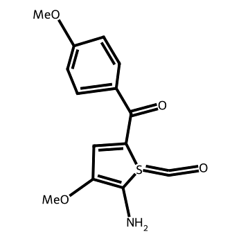 COC1=C(N)S(=C=O)C(C(=O)c2ccc(OC)cc2)=C1